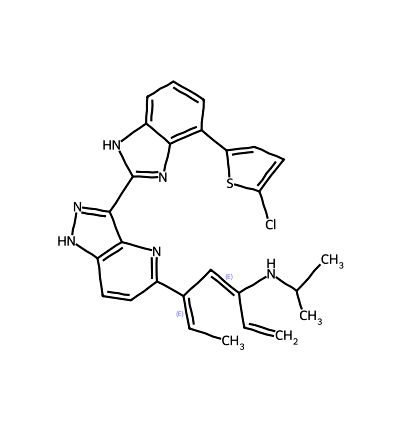 C=C/C(=C\C(=C/C)c1ccc2[nH]nc(-c3nc4c(-c5ccc(Cl)s5)cccc4[nH]3)c2n1)NC(C)C